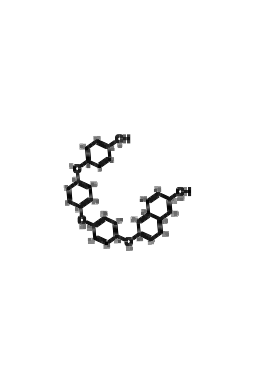 Oc1ccc(Oc2ccc(Oc3ccc(Oc4ccc5cc(O)ccc5c4)cc3)cc2)cc1